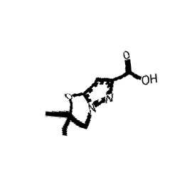 CC1(C)Cn2nc(C(=O)O)cc2O1